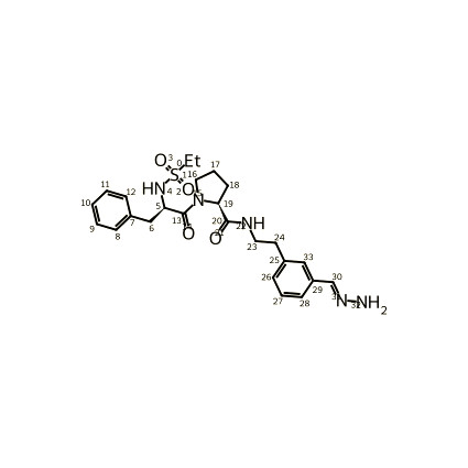 CCS(=O)(=O)N[C@H](Cc1ccccc1)C(=O)N1CCC[C@H]1C(=O)NCCc1cccc(C=NN)c1